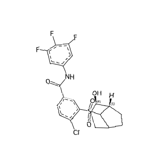 O=C(Nc1cc(F)c(F)c(F)c1)c1ccc(Cl)c(S(=O)(=O)C2C3CC[C@@H](O)[C@@H]2CC3)c1